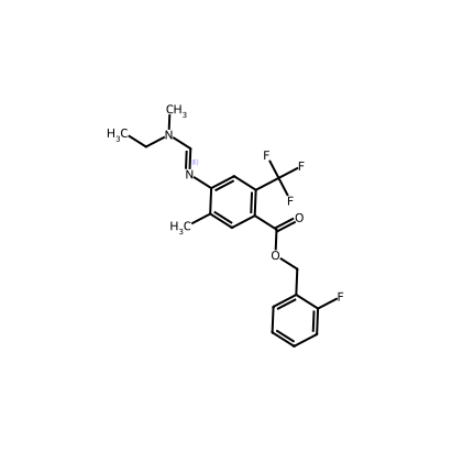 CCN(C)/C=N/c1cc(C(F)(F)F)c(C(=O)OCc2ccccc2F)cc1C